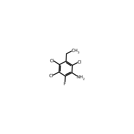 CCc1c(Cl)c(N)c(F)c(Cl)c1Cl